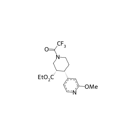 CCOC(=O)[C@@H]1CN(C(=O)C(F)(F)F)CC[C@@H]1c1ccnc(OC)c1